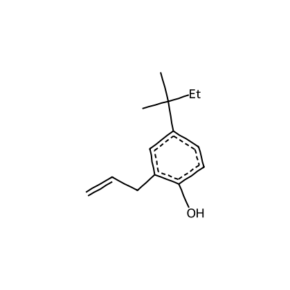 C=CCc1cc(C(C)(C)CC)ccc1O